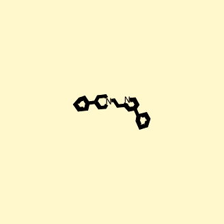 C1=C(c2ccccc2)CCN(CCc2cc(-c3ccccc3)ccn2)C1